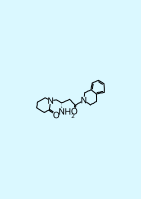 N[C@@H](CC(=O)N1CCc2ccccc2C1)CN1CCCCC1=O